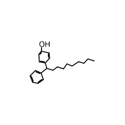 CCCCCCCCCC(c1ccccc1)c1ccc(O)cc1